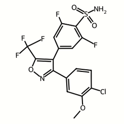 COc1cc(-c2noc(C(F)(F)F)c2-c2cc(F)c(S(N)(=O)=O)c(F)c2)ccc1Cl